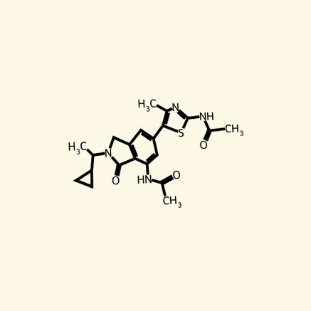 CC(=O)Nc1nc(C)c(-c2cc3c(c(NC(C)=O)c2)C(=O)N(C(C)C2CC2)C3)s1